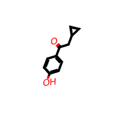 O=C(CC1CC1)c1ccc(O)cc1